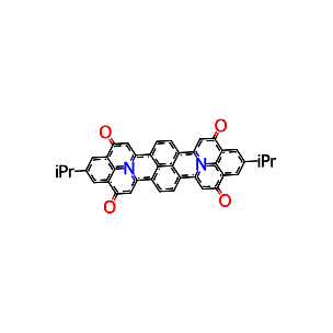 CC(C)c1cc2c(=O)cc3c4ccc5c6c(ccc(c46)c4cc(=O)c(c1)c2n34)c1cc(=O)c2cc(C(C)C)cc3c(=O)cc5n1c32